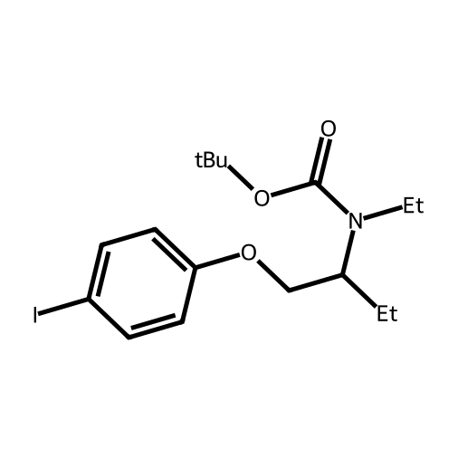 CCC(COc1ccc(I)cc1)N(CC)C(=O)OC(C)(C)C